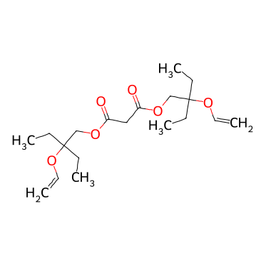 C=COC(CC)(CC)COC(=O)CC(=O)OCC(CC)(CC)OC=C